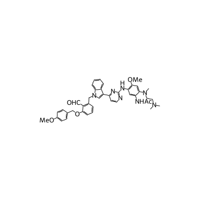 COc1ccc(COc2cccc(Cn3cc(-c4ccnc(Nc5cc(NC(C)=O)c(N(C)CCN(C)C)cc5OC)n4)c4ccccc43)c2C=O)cc1